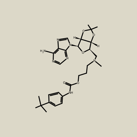 CN(CCCOC(=O)Nc1ccc(C(C)(C)C)cc1)C[C@H]1O[C@@H](n2cnc3c(N)ncnc32)[C@@H]2OC(C)(C)O[C@@H]21